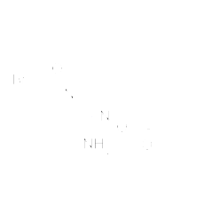 COc1nc(/C(N)=N/OCC(=O)c2ccccc2C)ccc1Br